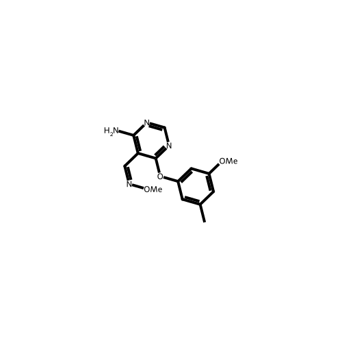 CO/N=C\c1c(N)ncnc1Oc1cc(C)cc(OC)c1